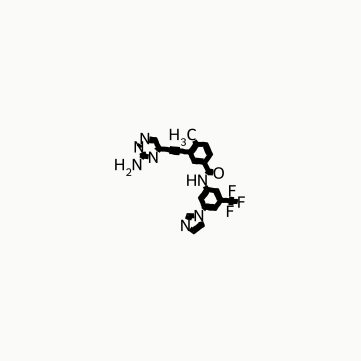 Cc1ccc(C(=O)Nc2cc(-n3ccnc3)cc(C(F)(F)F)c2)cc1C#Cc1cnnc(N)n1